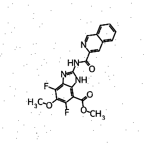 COC(=O)c1c(F)c(OC)c(F)c2nc(NC(=O)c3cc4ccccc4cn3)[nH]c12